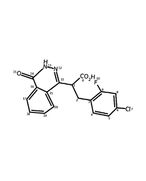 O=C(O)C(Cc1ccc(Cl)cc1F)c1n[nH]c(=O)c2ccccc12